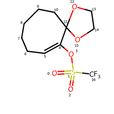 O=S(=O)(OC1=CCCCCCC12OCCO2)C(F)(F)F